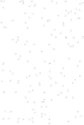 [CH2]c1ccc(CN2Cc3ccc(F)cc3C2)cc1